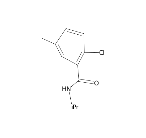 Cc1ccc(Cl)c(C(=O)NC(C)C)c1